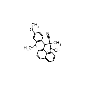 COc1ccc(C(c2cccc3ccccc23)C(C)(C#N)C(=O)O)c(OC)c1